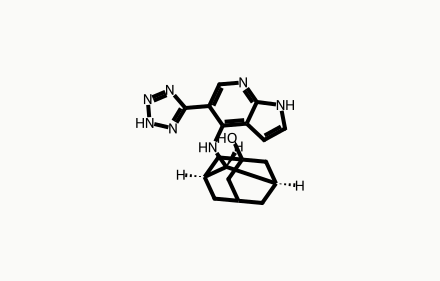 OC12CC3C[C@H](C1)[C@@H](Nc1c(-c4nn[nH]n4)cnc4[nH]ccc14)[C@@H](C3)C2